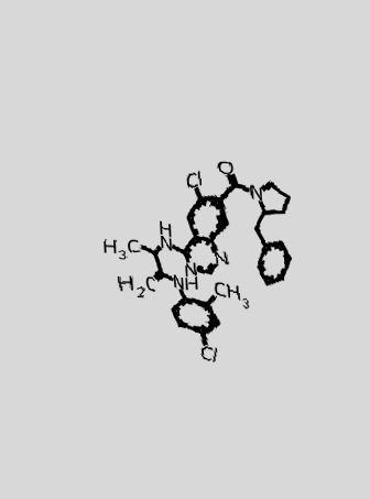 C=C(Nc1ccc(Cl)cc1C)C(C)Nc1ncnc2cc(C(=O)N3CCCC3Cc3ccccc3)c(Cl)cc12